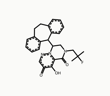 CC(C)(F)CN1CC(C2c3ccccc3CCc3ccccc32)n2ncc(=O)c(O)c2C1=O